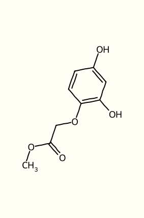 COC(=O)COc1ccc(O)cc1O